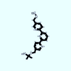 CCCC(C)(C)OCc1ccc(-c2cccc(-c3ccc(COC(C)(C)C)cn3)n2)nc1